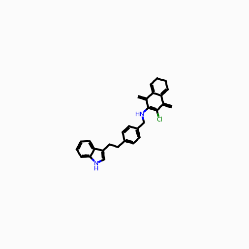 C=c1c(Cl)c(NCc2ccc(CCc3c[nH]c4ccccc34)cc2)c(=C)c2c1=CCCC=2